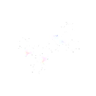 c1ccc(C2Nc3cc(-c4cc5c6ccccc6oc5c5c4oc4ccccc45)ccc3N2c2ccccc2)cc1